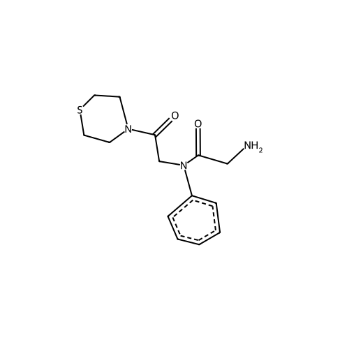 NCC(=O)N(CC(=O)N1CCSCC1)c1ccccc1